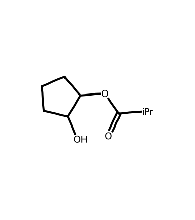 CC(C)C(=O)OC1CCCC1O